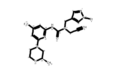 C#CCN(Cc1cnn(CC)c1)C(=O)Nc1cc(C(F)(F)F)cc(N2CCO[C@H](C)C2)n1